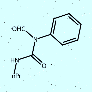 CCCNC(=O)N([C]=O)c1ccccc1